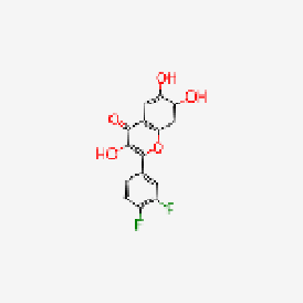 O=c1c(O)c(-c2ccc(F)c(F)c2)oc2cc(O)c(O)cc12